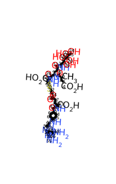 C[C@@H](CCC(=O)O)C(=O)N[C@@H](CCC(=O)NC[C@H](O)[C@@H](O)[C@H](O)[C@H](O)CO)C(=O)N[C@@H](CSSCCOC(=O)CC[C@H](NC(=O)c1ccc(NCc2cnc3nc(N)nc(N)c3n2)cc1)C(=O)O)C(=O)O